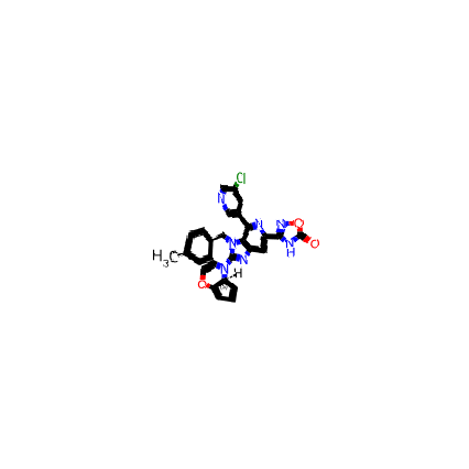 C[C@H]1CC[C@H](Cn2c(N3C=COC4=CC=C[C@@H]43)nc3cc(-c4noc(=O)[nH]4)nc(-c4cncc(Cl)c4)c32)CC1